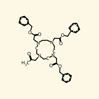 CC(=O)CN1CCN(CC(=O)OCc2ccccc2)CCN(CC(=O)OCc2ccccc2)CCN(CC(=O)OCc2ccccc2)CC1